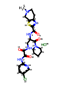 CN1CCc2nc(C(=O)NC(CNC(=O)C(=O)Nc3ccc(Cl)cn3)C(=O)N3CCCCC3)sc2C1.Cl